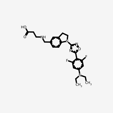 CCN(CC)c1cc(F)c(-c2nc(N3CCc4cc(CNCCC(=O)O)ccc43)no2)c(F)c1